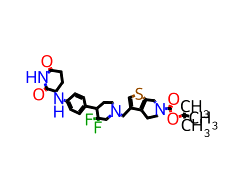 CC(C)(C)OC(=O)N1CCc2c(CN3CCC(c4ccc(NC5CCC(=O)NC5=O)cc4)C(F)(F)C3)csc2C1